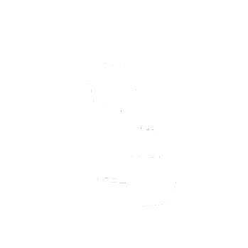 CC1(C)OCC(=O)[C@H](CC2(O)CCCCC2)O1